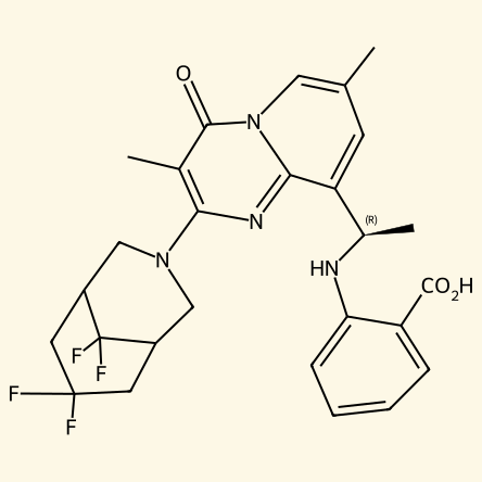 Cc1cc([C@@H](C)Nc2ccccc2C(=O)O)c2nc(N3CC4CC(F)(F)CC(C3)C4(F)F)c(C)c(=O)n2c1